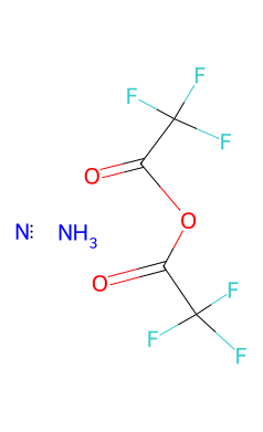 N.O=C(OC(=O)C(F)(F)F)C(F)(F)F.[N]